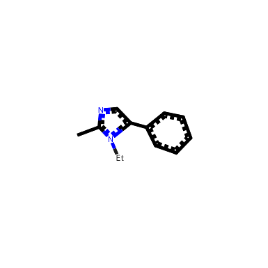 CCn1c(-c2ccccc2)cnc1C